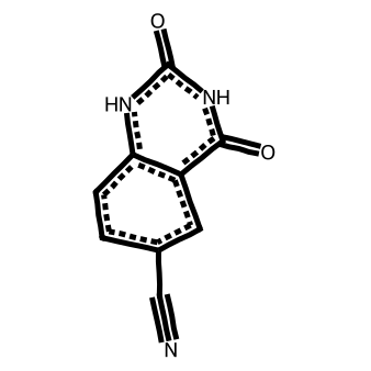 N#Cc1ccc2[nH]c(=O)[nH]c(=O)c2c1